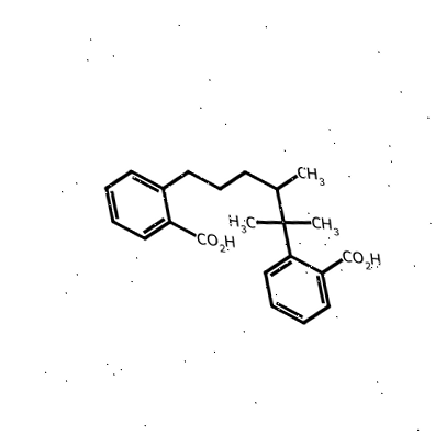 CC(CCCc1ccccc1C(=O)O)C(C)(C)c1ccccc1C(=O)O